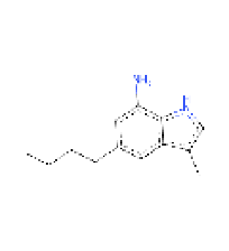 CCCCc1cc(N)c2[nH]cc(C)c2c1